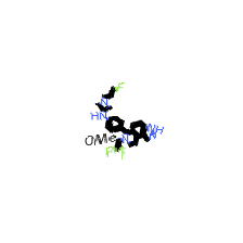 COc1cc(NC2CN(CCCF)C2)ccc1C1c2ccc3[nH]ncc3c2CCN1CC(F)F